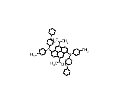 Cc1ccc(N(c2ccc(-c3ccccc3)cc2)c2ccc3c(C(C)C)cc4c(N(c5ccc(C)cc5)c5ccc(-c6ccccc6)cc5)ccc5c(C(C)C)cc2c3c54)cc1